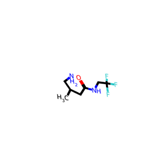 CC(CN)CC(=O)NCC(F)(F)F